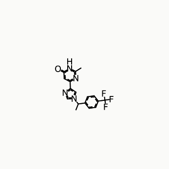 Cc1nc(-c2cn(C(C)c3ccc(C(F)(F)F)cc3)cn2)cc(=O)[nH]1